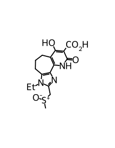 CCn1c(C[S+](C)[O-])nc2c1CCCc1c-2[nH]c(=O)c(C(=O)O)c1O